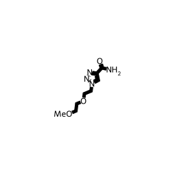 COCCOCCn1cc(C(N)=O)nn1